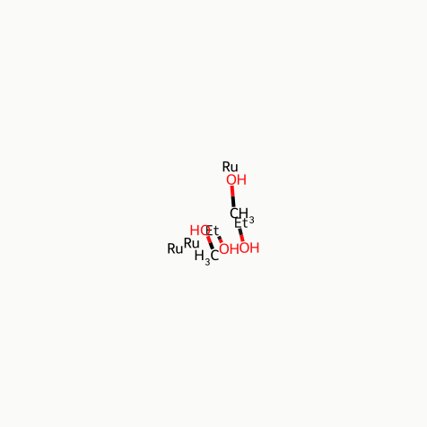 CCO.CCO.CO.CO.[Ru].[Ru].[Ru]